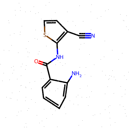 N#Cc1ccsc1NC(=O)c1ccccc1N